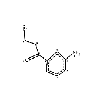 Nc1cccc(C(=O)CCBr)c1